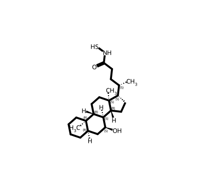 C[C@@H](CCC(=O)NS)[C@@H]1CC[C@@H]2[C@@H]3[C@@H](CC[C@]21C)[C@]1(C)CCCC[C@@H]1C[C@@H]3O